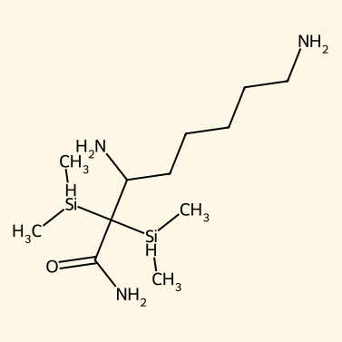 C[SiH](C)C(C(N)=O)(C(N)CCCCCN)[SiH](C)C